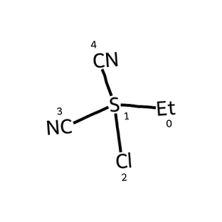 CCS(Cl)(C#N)C#N